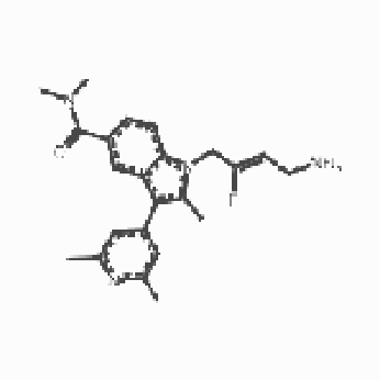 Cc1cc(-c2c(C)n(CC(F)=CCN)c3ccc(C(=O)N(C)C)cc23)cc(C)n1